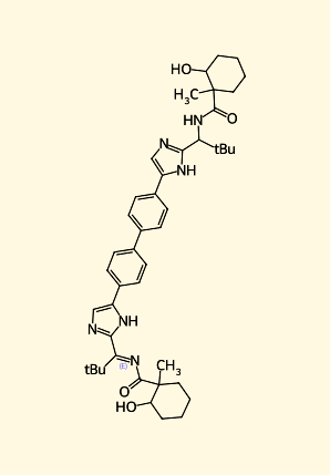 CC(C)(C)/C(=N\C(=O)C1(C)CCCCC1O)c1ncc(-c2ccc(-c3ccc(-c4cnc(C(NC(=O)C5(C)CCCCC5O)C(C)(C)C)[nH]4)cc3)cc2)[nH]1